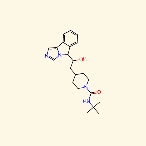 CC(C)(C)NC(=O)N1CCC(CC(O)C2c3ccccc3-c3cncn32)CC1